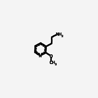 COc1ncccc1CCN